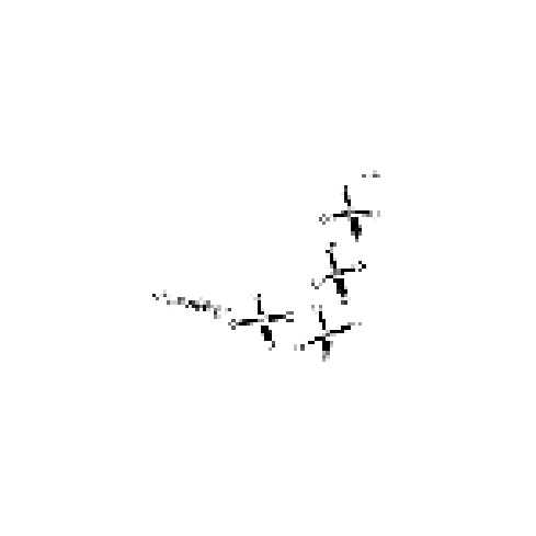 O=P([O-])([O-])[O-].O=P([O-])([O-])[O-].O=P([O-])([O-])[O-].O=P([O-])([O-])[O-].[Sr+2].[Sr+2].[Sr+2].[Zn+2].[Zn+2].[Zn+2]